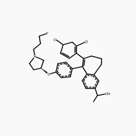 CC(O)c1ccc2c(c1)CCCC(C1=C(Cl)CC(Cl)C=C1)=C2c1ccc(O[C@H]2CCN(CCCF)C2)cc1